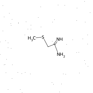 CSCC(=N)N